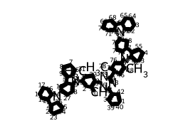 Cc1cc(-n2c3ccccc3c3cc(-n4c5ccccc5c5ccccc54)ccc32)c(C)cc1-c1nc(-c2ccccc2)nc(-c2cc(C)c(-n3c4ccccc4c4cc(-n5c6ccccc6c6ccccc65)ccc43)cc2C)n1